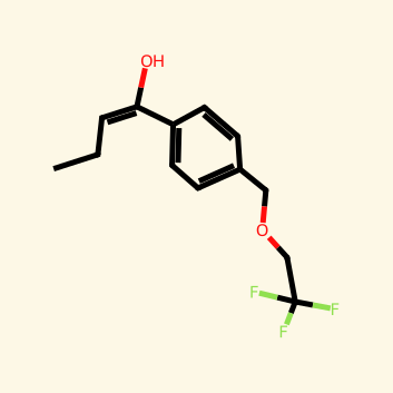 CC/C=C(/O)c1ccc(COCC(F)(F)F)cc1